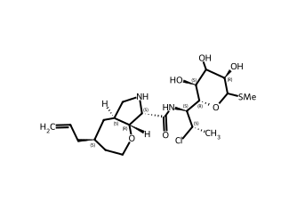 C=CC[C@@H]1CCO[C@@H]2[C@H](CN[C@@H]2C(=O)N[C@@H]([C@H]2OC(SC)[C@H](O)C(O)[C@@H]2O)[C@H](C)Cl)C1